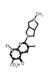 CCn1cc(C(=O)O)c(=O)c2cc(F)c(N3CC4CN(C)CC4C3)nc21